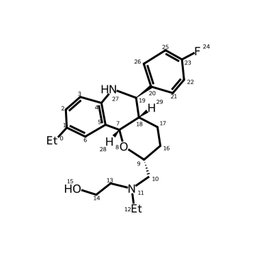 CCc1ccc2c(c1)[C@H]1O[C@@H](CN(CC)CCO)CC[C@H]1[C@H](c1ccc(F)cc1)N2